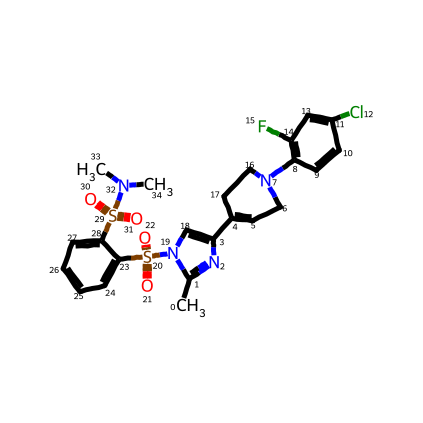 Cc1nc(C2=CCN(c3ccc(Cl)cc3F)CC2)cn1S(=O)(=O)c1ccccc1S(=O)(=O)N(C)C